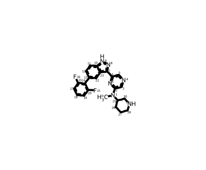 CN(c1cncc(-c2n[nH]c3ccc(-c4c(F)cccc4F)cc23)n1)C1CCCNC1